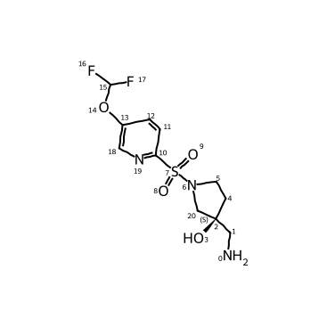 NC[C@@]1(O)CCN(S(=O)(=O)c2ccc(OC(F)F)cn2)C1